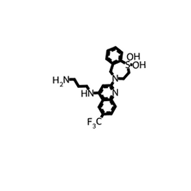 NCCCNc1cc(N2CCS(O)(O)c3ccccc3C2)nc2ccc(C(F)(F)F)cc12